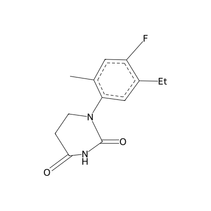 CCc1cc(N2CCC(=O)NC2=O)c(C)cc1F